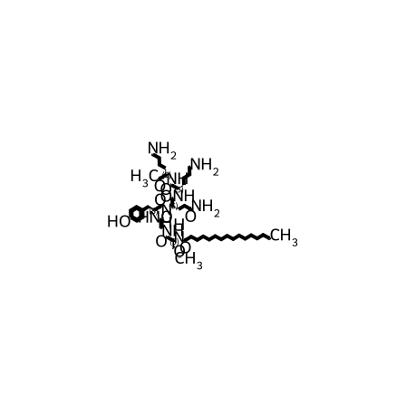 CCCCCCCCCCCCCCCC(=O)N[C@@H](COC)C(=O)NCC(=O)N[C@@H](Cc1ccc(O)cc1)C(=O)N[C@@H](CCC(N)=O)C(=O)N[C@@H](CCCCN)C(=O)N[C@@H](CCCCN)C(C)=O